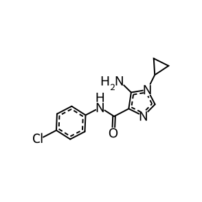 Nc1c(C(=O)Nc2ccc(Cl)cc2)ncn1C1CC1